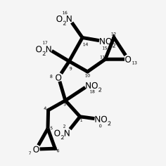 O=[N+]([O-])C([N+](=O)[O-])C(CC1CO1)(OC(CC1CO1)(C([N+](=O)[O-])[N+](=O)[O-])[N+](=O)[O-])[N+](=O)[O-]